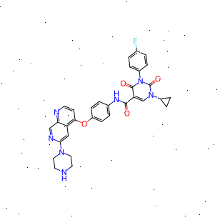 O=C(Nc1ccc(Oc2ccnc3cnc(N4CCNCC4)cc23)cc1)c1cn(C2CC2)c(=O)n(-c2ccc(F)cc2)c1=O